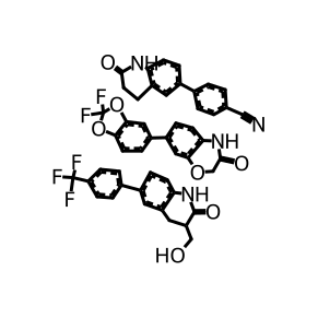 N#Cc1ccc(-c2ccc3c(c2)CCC(=O)N3)cc1.O=C1COc2cc(-c3ccc4c(c3)OC(F)(F)O4)ccc2N1.O=C1Nc2ccc(-c3ccc(C(F)(F)F)cc3)cc2CC1CO